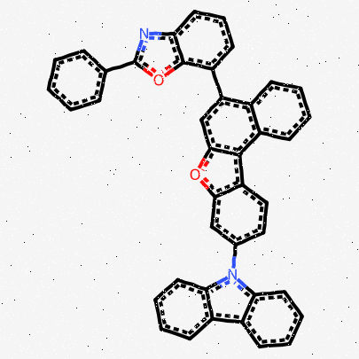 c1ccc(-c2nc3cccc(-c4cc5oc6cc(-n7c8ccccc8c8ccccc87)ccc6c5c5ccccc45)c3o2)cc1